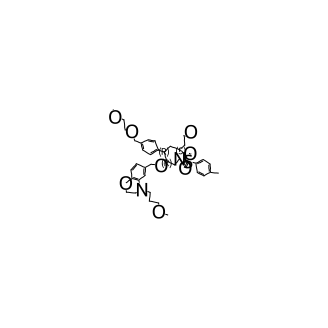 COCCCN1CCOc2ccc(CO[C@H]3CN(S(=O)(=O)c4ccc(C)cc4)[C@H](CC=O)C[C@@H]3c3ccc(COCCOC)cc3)cc21